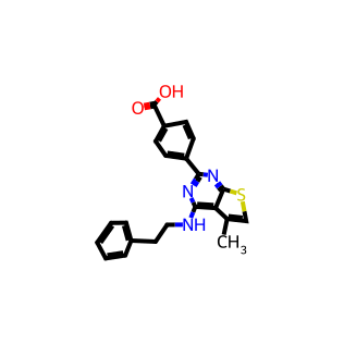 Cc1csc2nc(-c3ccc(C(=O)O)cc3)nc(NCCc3ccccc3)c12